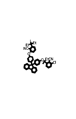 CCC(I)(CC)c1cccc(OC2C=CC(C3(c4ccc(OC(C)(CC)c5cccc(Cl)c5C#N)cc4)c4ccccc4-c4ccccc43)=CC2)c1C#N